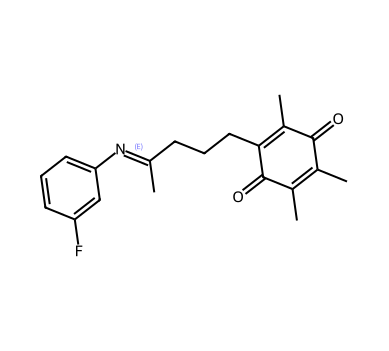 CC1=C(C)C(=O)C(CCC/C(C)=N/c2cccc(F)c2)=C(C)C1=O